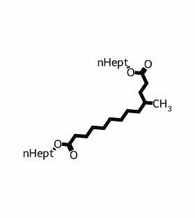 CCCCCCCOC(=O)CCCCCCCCC(C)CCC(=O)OCCCCCCC